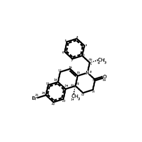 C[C@@H](c1ccccc1)N1C(=O)CC[C@]2(C)C1=CCc1cc(Br)ccc12